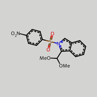 COC(OC)c1c2ccccc2cn1S(=O)(=O)c1ccc([N+](=O)[O-])cc1